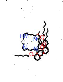 CCCCC=COc1ccccc1-c1c(-c2ccccc2OC=CCCCC)c2c(-c3ccccc3OC=CCCCC)c3nc(cc4ccc(cc5nc(cc1n2-c1ccccc1OC=CCCCC)C=C5)[nH]4)C=C3